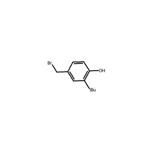 CCC(C)c1cc(CBr)ccc1O